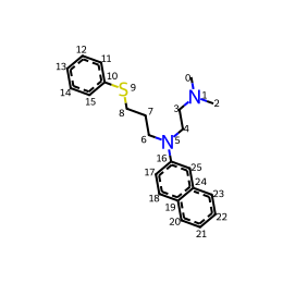 CN(C)CCN(CCCSc1ccccc1)c1ccc2ccccc2c1